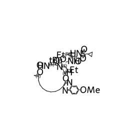 CC[C@@H]1[C@@H]2CN(C(=O)[C@H](C(C)(C)C)NC(=O)O[C@H](C)CCCCCCCc3nc4ccc(OC)cc4nc3O2)[C@@H]1C(=O)N[C@]1(C(=O)NS(=O)(=O)C2CC2)C[C@H]1CC